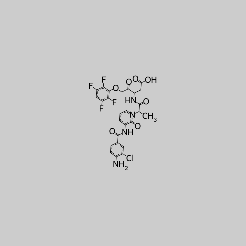 CC(C(=O)NC(CC(=O)O)C(=O)COc1c(F)c(F)cc(F)c1F)n1cccc(NC(=O)c2ccc(N)c(Cl)c2)c1=O